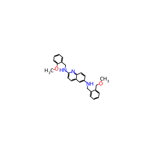 COCc1ccccc1CNc1ccc2nc(NCc3ccccc3OC)ccc2c1